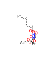 CC[C@H]1O[C@@H](n2cc(C)c(=O)n(COC(=O)CC(C)CCCC(C)CCCC(C)CCCC(C)C)c2=O)C[C@H]1OC(=O)CCC(C)=O